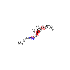 C=CC1CCC2CC(COc3ccc4cc(C(=O)Oc5ccc(C(=O)Oc6ccc(C)cc6C)cc5C)ccc4c3C=N)CCC2C1